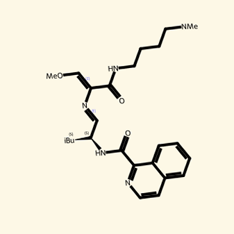 CC[C@H](C)[C@@H](/C=N/C(=C\OC)C(=O)NCCCCNC)NC(=O)c1nccc2ccccc12